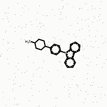 CC1CCC(c2ccc(-n3c4ccccc4c4ccccc43)cc2)CC1